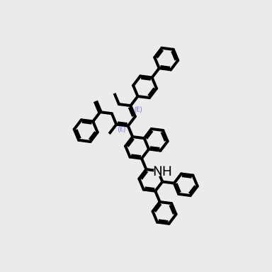 C=C(C/C(C)=C(\C=C(/CC)C1C=CC(c2ccccc2)=CC1)c1ccc(C2=CC=C(c3ccccc3)C(c3ccccc3)N2)c2ccccc12)c1ccccc1